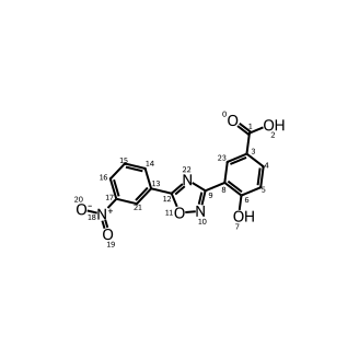 O=C(O)c1ccc(O)c(-c2noc(-c3cccc([N+](=O)[O-])c3)n2)c1